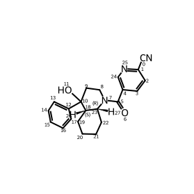 N#Cc1ccc(C(=O)N2CCC(O)(c3ccccc3)[C@H]3CCCC[C@H]32)cn1